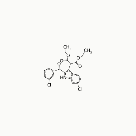 CCOC(=O)C(C(=O)OCC)c1c(C(=O)c2cccc(Cl)c2)[nH]c2cc(Cl)ccc12